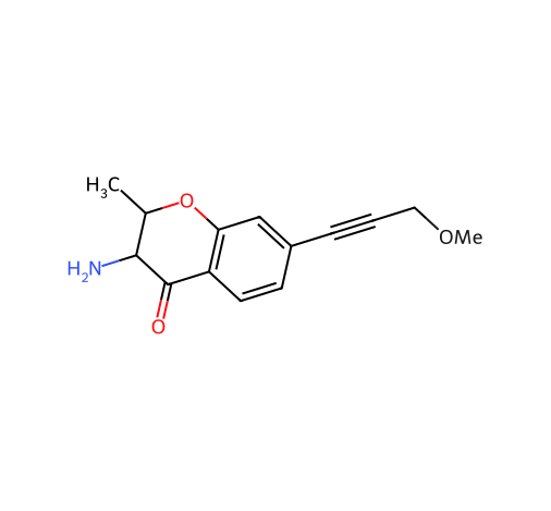 COCC#Cc1ccc2c(c1)OC(C)C(N)C2=O